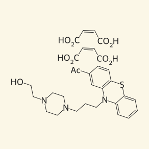 CC(=O)c1ccc2c(c1)N(CCCN1CCN(CCO)CC1)c1ccccc1S2.O=C(O)/C=C\C(=O)O.O=C(O)/C=C\C(=O)O